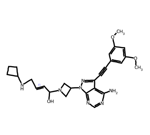 COc1cc(C#Cc2nn(C3CN(C(O)/C=C/CNC4CCC4)C3)c3ncnc(N)c23)cc(OC)c1